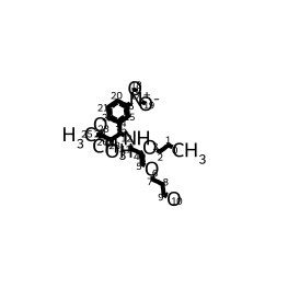 CCCO/C(=C\OCCC=O)CNC1c2cc([N+](=O)[O-])ccc2OC(C)(C)C1O